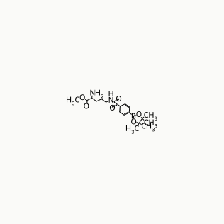 COC(=O)C(N)CCCNS(=O)(=O)c1ccc(B2OC(C)(C)C(C)(C)O2)cc1